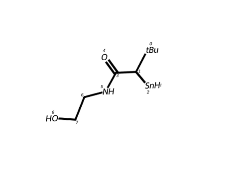 CC(C)(C)[CH]([SnH])C(=O)NCCO